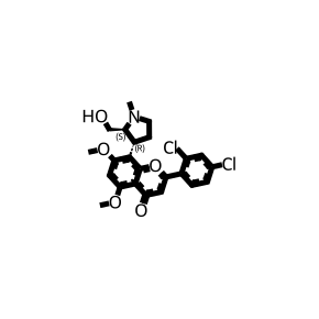 COc1cc(OC)c2c(=O)cc(-c3ccc(Cl)cc3Cl)oc2c1[C@H]1CCN(C)[C@@H]1CO